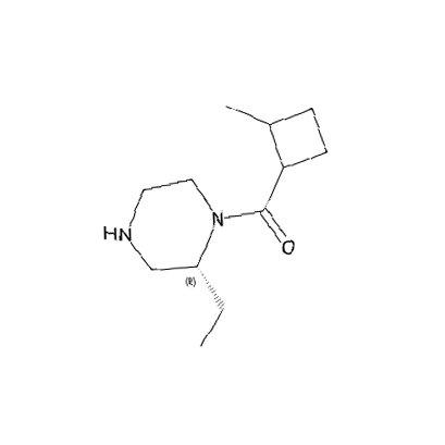 CC[C@@H]1CNCCN1C(=O)C1CCC1C